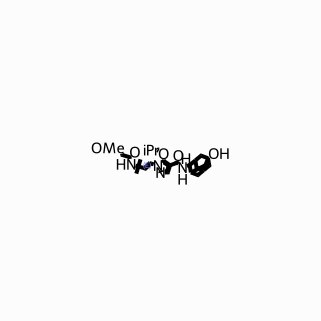 COCC(=O)NC(C)(C)/C=C/n1ncc(C(=O)N[C@H]2C3CC4CC2C[C@](O)(C4)C3)c1OC(C)C